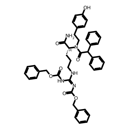 NC(=O)[C@@H](CCCNC(=NC(=O)OCc1ccccc1)NC(=O)OCc1ccccc1)N(CCc1ccc(O)cc1)C(=O)C(c1ccccc1)c1ccccc1